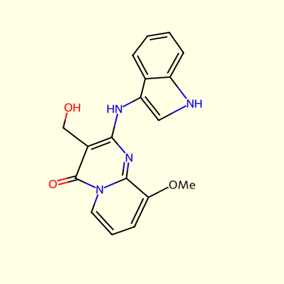 COc1cccn2c(=O)c(CO)c(Nc3c[nH]c4ccccc34)nc12